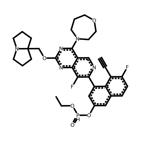 C#Cc1c(F)ccc2cc(O[PH](=O)OCC)cc(-c3ncc4c(N5CCCOCC5)nc(OCC56CCCN5CCC6)nc4c3F)c12